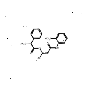 COC(C(=O)OC(CC(=O)Nc1ccccc1S(=O)(=O)O)C(C)=O)c1ccccc1